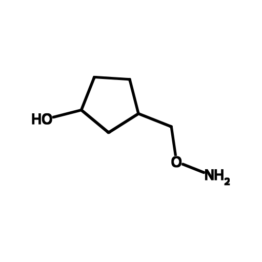 NOCC1CCC(O)C1